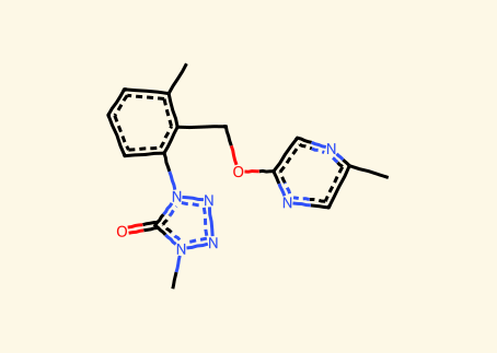 Cc1cnc(OCc2c(C)cccc2-n2nnn(C)c2=O)cn1